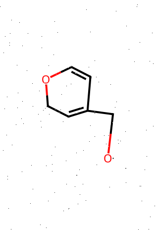 [O]CC1=CCOC=C1